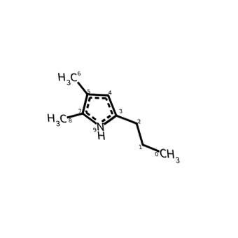 CCCc1cc(C)c(C)[nH]1